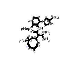 CCCCCCCC1=C(NC(=O)C(C(N)N)C2CC(C)(CCCC)/C=C\C(F)=C=N2)C(N2CNC(CCCC)C2)CCN1